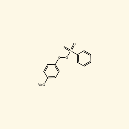 COc1ccc(SOS(=O)(=O)c2ccccc2)cc1